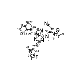 C=CC(=O)N1CCN(c2nc(OC[C@@H]3CC(F)(F)CN3C)nn3c(Cc4cccc5ccccc45)cnc23)C[C@@H]1CC#N